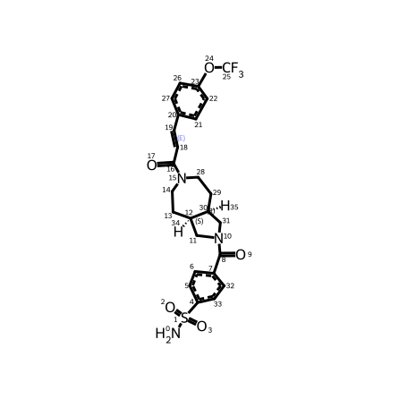 NS(=O)(=O)c1ccc(C(=O)N2C[C@H]3CCN(C(=O)/C=C/c4ccc(OC(F)(F)F)cc4)CC[C@H]3C2)cc1